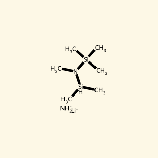 CN([SiH](C)C)[Si](C)(C)C.[Li+].[NH2-]